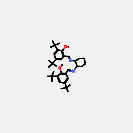 COc1c(/C=N/C2CCCCC2/N=C/c2cc(C(C)(C)C)cc(C(C)(C)C)c2OC)cc(C(C)(C)C)cc1C(C)(C)C